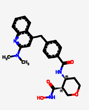 CN(C)c1cc(Cc2ccc(C(=O)N[C@@H]3CCOC[C@@H]3C(=O)NO)cc2)c2ccccc2n1